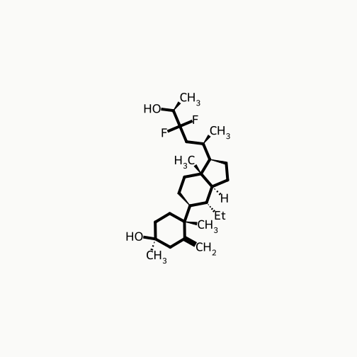 C=C1C[C@@](C)(O)CC[C@]1(C)[C@H]1CC[C@]2(C)[C@@H]([C@H](C)CC(F)(F)[C@H](C)O)CC[C@H]2[C@@H]1CC